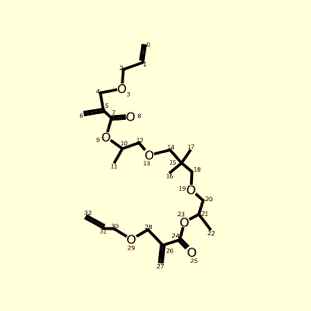 C=CCOCC(=C)C(=O)OC(C)COCC(C)(C)COCC(C)OC(=O)C(=C)COCC=C